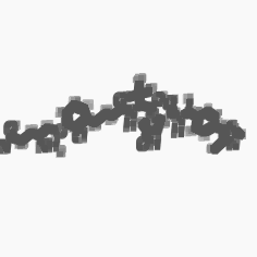 Cc1ncsc1-c1ccc([C@H](C)NC(=O)[C@@H]2CC(O)CN2C(=O)[C@@H](NC(=O)CCCc2cccc(OC[C@@H](N)CCC(N)=O)c2Cl)C(C)(C)C)cc1